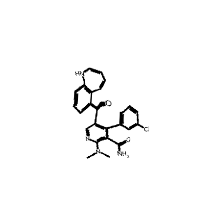 CN(C)c1ncc(C(=O)c2cccc3c2C=CC=CN3)c(-c2cccc(Cl)c2)c1C(N)=O